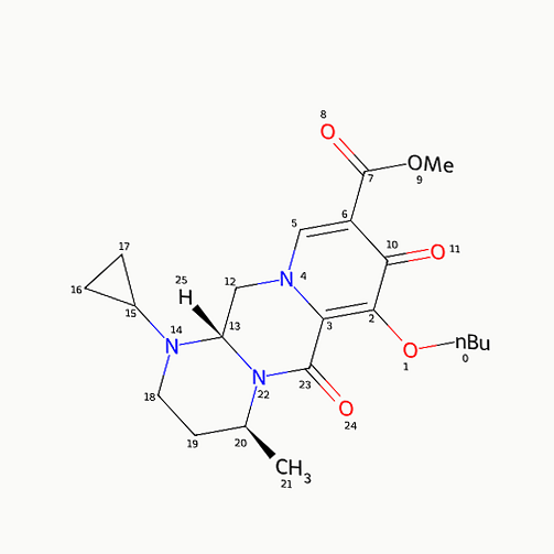 CCCCOc1c2n(cc(C(=O)OC)c1=O)C[C@H]1N(C3CC3)CC[C@H](C)N1C2=O